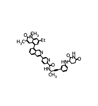 CCc1cc(-c2cccc3cc(-c4ccc(C(=O)N[C@@H](C)C#Cc5cccc(NC6CCC(=O)NC6=O)c5)nc4)ncc23)c2cc(C)c(=O)n(C)c2c1